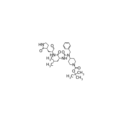 CC(C)C[C@H](NC(=O)N(Cc1ccccc1)C1CCN(C(=O)OC(C)(C)C)CC1)C(=O)N[C@H](C=O)C[C@@H]1CCNC1=O